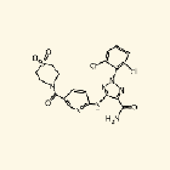 NC(=O)c1nn(-c2c(Cl)cccc2Cl)nc1Nc1ccc(C(=O)N2CCS(=O)(=O)CC2)cn1